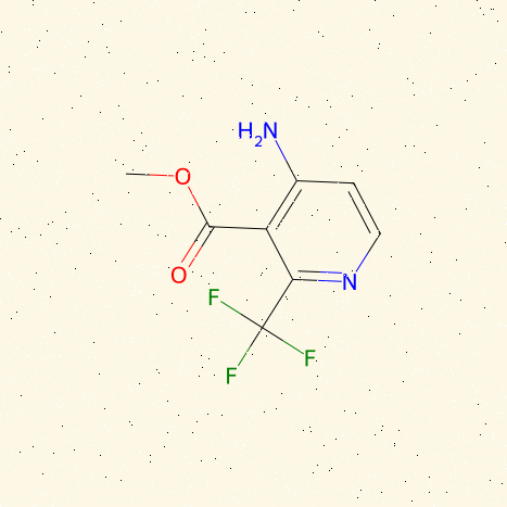 COC(=O)c1c(N)ccnc1C(F)(F)F